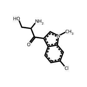 Cn1cc(C(=O)C(N)CO)c2ccc(Cl)cc21